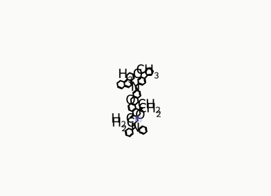 C=C1/C(=C\C(=C)N(c2ccccc2)C2C=CC=CC2)OC(=C)c2c1ccc1c2C(=C)c2ccc(N(c3ccc4c(c3)C(C)(C)c3ccccc3-4)c3cc4c(c5c3C=CCC5)CCC=C4)cc2O1